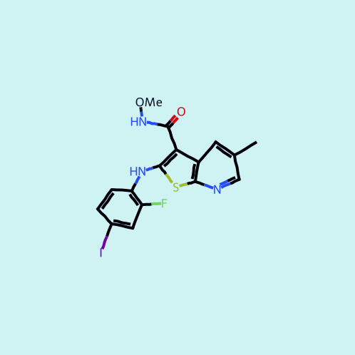 CONC(=O)c1c(Nc2ccc(I)cc2F)sc2ncc(C)cc12